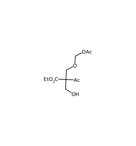 CCOC(=O)C(CO)(COCOC(C)=O)C(C)=O